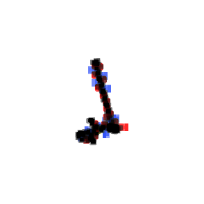 CCCO[C@H](C[C@H](C(C)C)N(CCC)C(=O)[C@@H](NC(=O)[C@H]1CCCCN1C)[C@@H](C)CC)c1nc(C(=O)NC2Cc3ccc(O)cc3[C@H](C(=O)NNC(=O)OCCOCCOCCOCCNC(=O)CNC(=O)CNC(=O)CNC(=O)OC(C)(C)C)C2)cs1